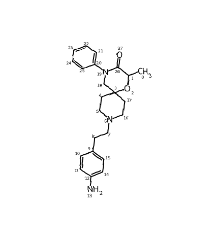 CC1OC2(CCN(CCc3ccc(N)cc3)CC2)CN(c2ccccc2)C1=O